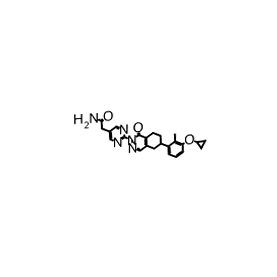 Cc1c(OC2CC2)cccc1C1CCc2c(cnn(-c3ncc(CC(N)=O)cn3)c2=O)C1